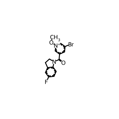 CO[n+]1cc(Br)cc(C(=O)N2CCc3cc(F)ccc32)c1